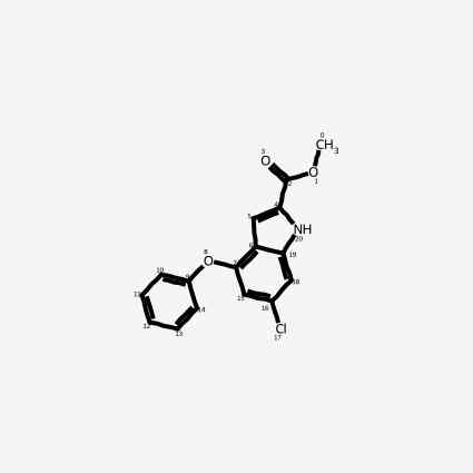 COC(=O)c1cc2c(Oc3ccccc3)cc(Cl)cc2[nH]1